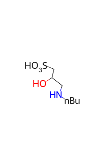 CCCCNCC(O)CS(=O)(=O)O